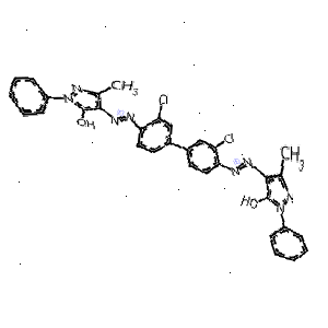 Cc1nn(-c2ccccc2)c(O)c1/N=N/c1ccc(-c2ccc(/N=N/c3c(C)nn(-c4ccccc4)c3O)c(Cl)c2)cc1Cl